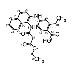 CCOC(=O)CC(=O)Nc1c(Nc2ccc(C(=O)O)c(CC)c2)ccc2ccccc12